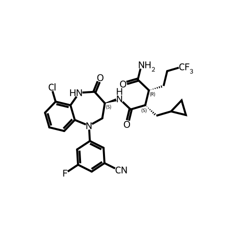 N#Cc1cc(F)cc(N2C[C@H](NC(=O)[C@@H](CC3CC3)[C@@H](CCC(F)(F)F)C(N)=O)C(=O)Nc3c(Cl)cccc32)c1